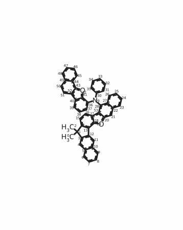 CC1(C)c2cc3ccccc3cc2-c2c1ccc1c2oc2cc3ccccc3c(N(c3ccccc3)c3cccc4c3oc3c5ccccc5ccc43)c21